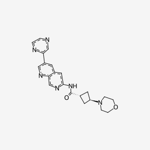 O=C(Nc1cc2cc(-c3cnccn3)cnc2cn1)[C@H]1C[C@H](N2CCOCC2)C1